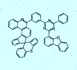 c1ccc(-c2nc(-c3cccc(-c4nc5ccccc5c5c6c(ccc45)C4(c5ccccc5Sc5ccccc54)c4ccccc4-6)c3)nc(-c3cccc4c3oc3ccccc34)n2)cc1